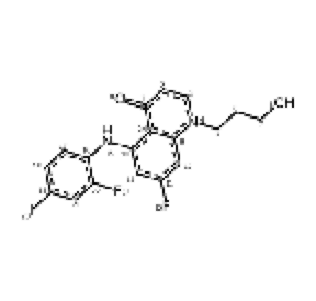 O=c1ccn(CCCO)c2cc(F)cc(Nc3ccc(I)cc3F)c12